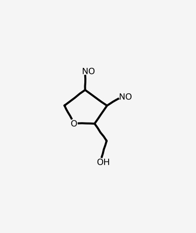 O=NC1COC(CO)C1N=O